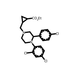 CCOC(=O)C1CC1CN1CCN(c2ccc(Cl)cc2Cl)C(c2ccc(Cl)cc2)C1